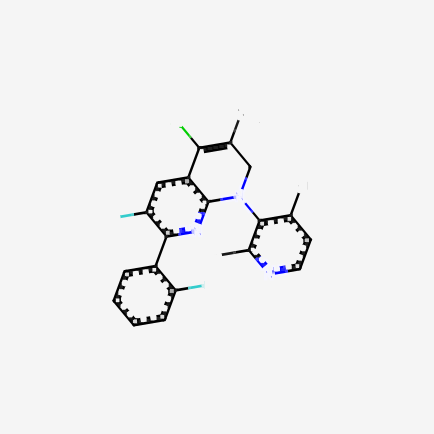 Cc1ccnc(C(C)C)c1N1CC([N+](=O)[O-])=C(Cl)c2cc(F)c(-c3ccccc3F)nc21